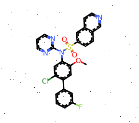 COc1cc(-c2cccc(F)c2)c(Cl)cc1N(c1ncccn1)S(=O)(=O)c1ccc2cnccc2c1